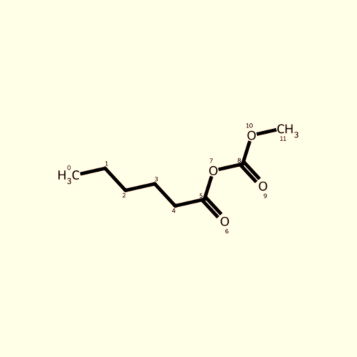 CCCCCC(=O)OC(=O)OC